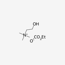 CCOC(=O)[O-].C[N+](C)(C)CCO